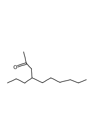 CCCCCCC(CCC)CC(C)=O